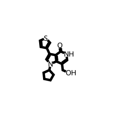 O=c1[nH]cc(CO)c2c1c(-c1ccsc1)cn2C1CCCC1